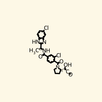 C[C@H](NC(=O)c1ccc(C(=O)N2CCC[C@H]2C(O)=C=O)c(Cl)c1)c1nc2cc(Cl)ccc2[nH]1